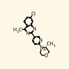 Cc1nc(-c2ccc(N3CCOC[C@H]3C)nc2)nc2cc(Cl)ccc12